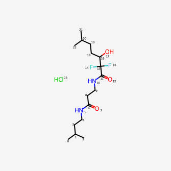 CC(C)CCNC(=O)CCNC(=O)C(F)(F)C(O)CCC(C)C.Cl